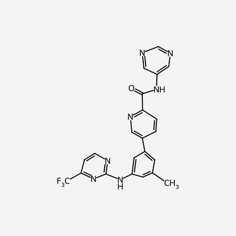 Cc1cc(Nc2nccc(C(F)(F)F)n2)cc(-c2ccc(C(=O)Nc3cncnc3)nc2)c1